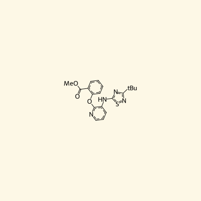 COC(=O)c1ccccc1Oc1ncccc1Nc1nc(C(C)(C)C)ns1